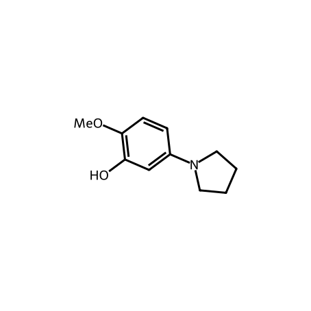 COc1ccc(N2CCCC2)cc1O